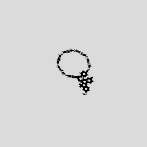 COc1ccc2c(c1)C(C)(C)c1c3c(c4cc(C)ccc4c1-2)OC1(C=C3)c2ccc(cc2)Oc2ccc(cc2)Oc2ccc(cc2)Oc2ccc(cc2)Oc2ccc(cc2)Oc2ccc(cc2)Oc2ccc1cc2